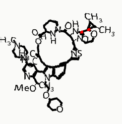 CO[C@@H](C)c1ncc(N2CCN(C)CC2)cc1-c1c2c3cc(ccc3n1CCOC1CCOCC1)-c1csc(n1)[C@@H](N1CCOCC1)[C@H](NC(=O)[C@H]1[C@H](C)[C@@H]1C)C(=O)N1CCC[C@H](N1)C(=O)OCC(C)(C)C2